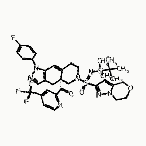 CC(C)(C)[Si](C)(C)N=S(=O)(c1cc2n(n1)CCOC2)N1CCC2=Cc3c(cnn3-c3ccc(F)cc3)C[C@]2(C(=O)c2cc(C(F)(F)F)ccn2)C1